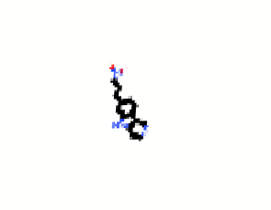 O=[N+]([O-])CCCc1ccc2c(c1)[nH]c1ccncc12